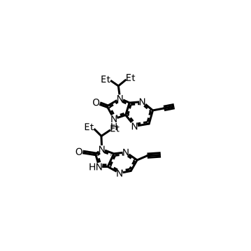 C#Cc1cnc2[nH]c(=O)n(C(CC)CC)c2n1.C#Cc1cnc2[nH]c(=O)n(C(CC)CC)c2n1